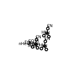 CCCCCCC(C(=O)O)(C(CC)(CC)C(=O)O)S(=O)(=O)O.N#Cc1ccc(C2=NN(c3ccccc3)N(c3ccccc3)N2)cc1.N#Cc1ccc(C2=NN(c3ccccc3)N(c3ccccc3)N2)cc1.N#Cc1ccc(C2=NN(c3ccccc3)N(c3ccccc3)N2)cc1